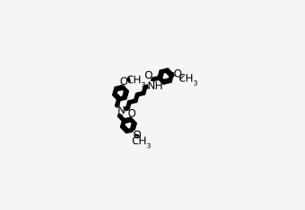 COc1ccc(CN(Cc2ccc(OC)cc2)C(=O)CCCCCNC(=O)c2ccc(OC)cc2)cc1